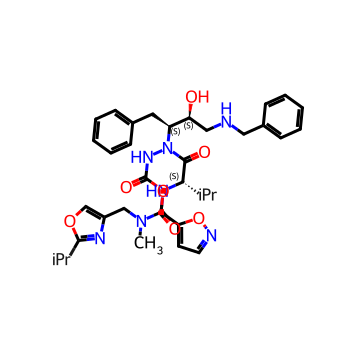 CC(C)c1nc(CN(C)C(=O)N[C@H](C(=O)N(NC(=O)OCc2ccno2)[C@@H](Cc2ccccc2)[C@@H](O)CNCc2ccccc2)C(C)C)co1